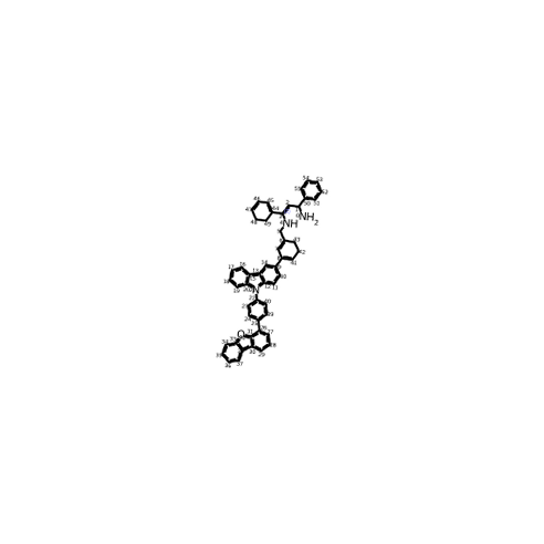 NC(/C=C(\NCC1=CC(c2ccc3c(c2)c2ccccc2n3-c2ccc(-c3cccc4c3oc3ccccc34)cc2)=CCC1)C1=CC=CCC1)c1ccccc1